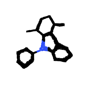 CC1=CCC(C)c2c1n(-c1ccccc1)c1ccccc21